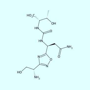 C[C@H](O)[C@H](NC(=O)N[C@@H](CC(N)=O)c1nc([C@H](N)CO)no1)C(=O)O